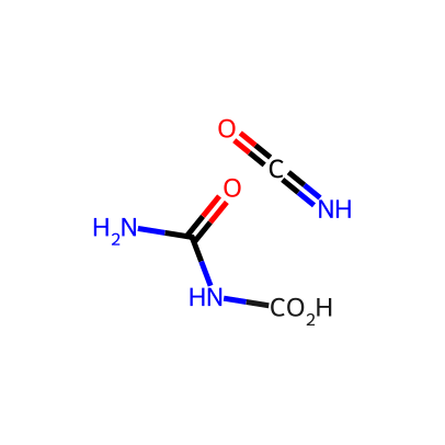 N=C=O.NC(=O)NC(=O)O